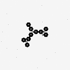 c1ccc(-c2ccc(N(c3ccc(-c4ccc5c(c4)Sc4ccccc4N5c4ccccc4)cc3)c3ccc(-c4ccc5c(c4)c4ccccc4n5-c4ccccc4)cc3)cc2)cc1